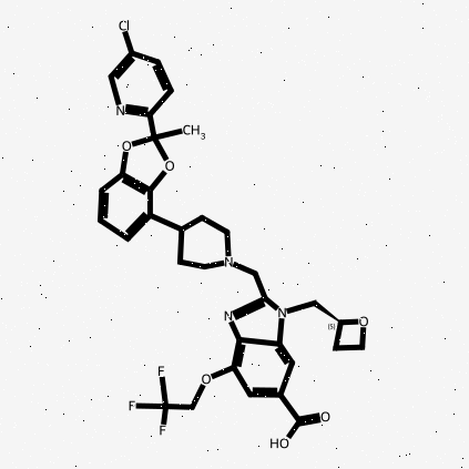 CC1(c2ccc(Cl)cn2)Oc2cccc(C3CCN(Cc4nc5c(OCC(F)(F)F)cc(C(=O)O)cc5n4C[C@@H]4CCO4)CC3)c2O1